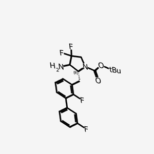 CC(C)(C)OC(=O)N1CC(F)(F)C(N)[C@H]1Cc1cccc(-c2cccc(F)c2)c1F